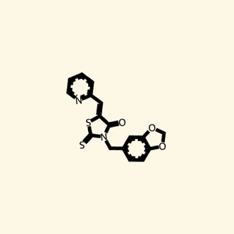 O=C1C(=Cc2ccccn2)SC(=S)N1Cc1ccc2c(c1)OCO2